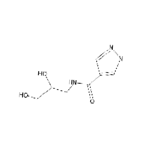 O=C(NCC(O)CO)C1=C[N]N=C1